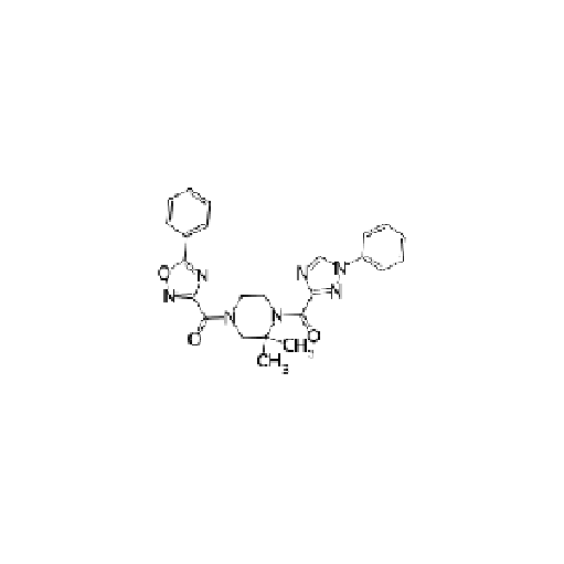 CC1(C)CN(C(=O)c2noc(-c3ccccc3)n2)CCN1C(=O)c1ncn(-c2ccccc2)n1